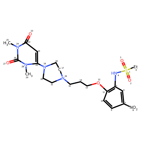 CCS(=O)(=O)Nc1cc([N+](=O)[O-])ccc1OCCCN1CCN(c2cc(=O)n(C)c(=O)n2C)CC1